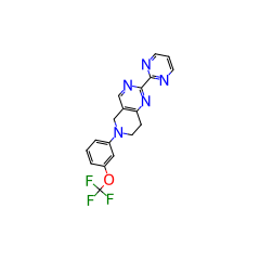 FC(F)(F)Oc1cccc(N2CCc3nc(-c4ncccn4)ncc3C2)c1